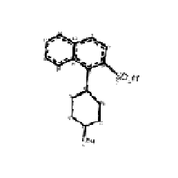 CC(C)(C)C1CCC(c2c(S(=O)(=O)O)ccc3ccccc23)CC1